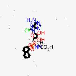 CC(NP(=O)(OC[C@H]1O[C@@H](n2c(Cl)nc3c(N)ncnc32)C(O)C1O)Oc1cccc2ccccc12)C(=O)O